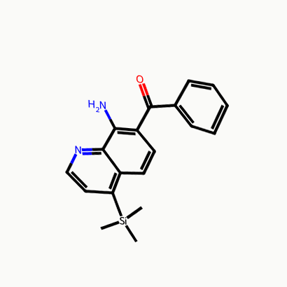 C[Si](C)(C)c1ccnc2c(N)c(C(=O)c3ccccc3)ccc12